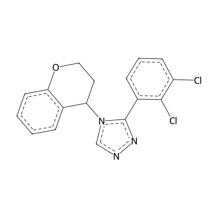 Clc1cccc(-c2nncn2C2CCOc3ccccc32)c1Cl